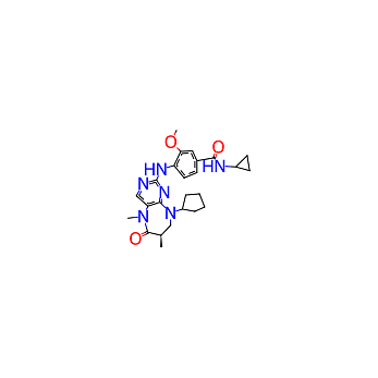 COc1cc(C(=O)NC2CC2)ccc1Nc1ncc2c(n1)N(C1CCCC1)C[C@@H](C)C(=O)N2C